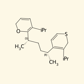 CC(C)C1=C([C@@H](C)CC[C@@H](C)C2=C(C(C)C)CSC=C2)OCC=C1